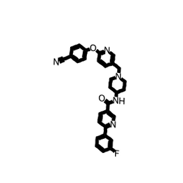 N#Cc1ccc(Oc2ccc(CN3CCC(NC(=O)c4ccc(-c5cccc(F)c5)nc4)CC3)cn2)cc1